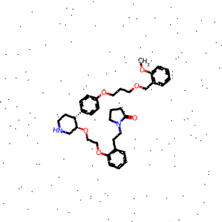 COc1ccccc1COCCCOc1ccc([C@H]2CCNC[C@@H]2OCCOc2ccccc2CCN2CCCC2=O)cc1